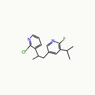 CC(C)c1cc(CC(C)c2cccnc2Cl)cnc1F